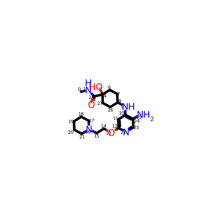 CNC(=O)C1(O)CCC(Nc2cc(OCCN3CCCCC3)ncc2N)CC1